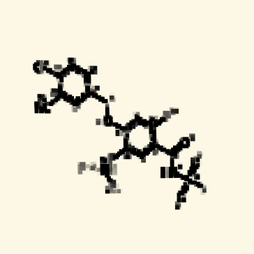 CCNCC.CS(=O)(=O)NC(=O)c1cc(F)c(OCc2ccc(Cl)c(C#N)c2)cc1F